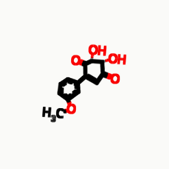 COc1cccc(C2=CC(=O)[C@@H](O)[C@@H](O)C2=O)c1